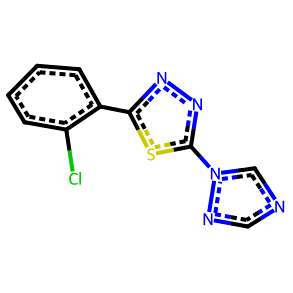 Clc1ccccc1-c1nnc(-n2cncn2)s1